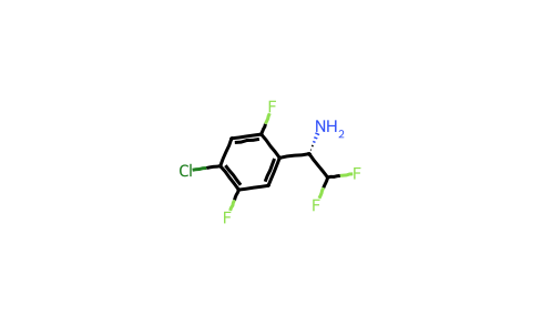 N[C@@H](c1cc(F)c(Cl)cc1F)C(F)F